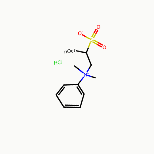 CCCCCCCCC(C[N+](C)(C)c1ccccc1)S(=O)(=O)[O-].Cl